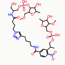 COCC1OC(C)C(O)C1OP(=O)(O)OCC(CO)NC(=O)CCCn1cc(CCCCNC(=O)c2ccc([N+](=O)[O-])c(C(C)COP(=O)(O)OCC3OC(C)C(O)C3OC)c2)nn1